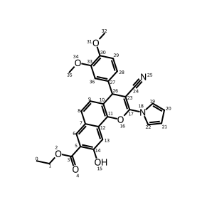 CCOC(=O)c1cc2ccc3c(c2cc1O)OC(n1cccc1)=C(C#N)C3c1ccc(OC)c(OC)c1